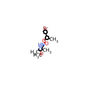 COc1c(C)cnc(CNC(=O)Oc2cc(C)cc(-c3ccc(Br)cc3)c2)c1C